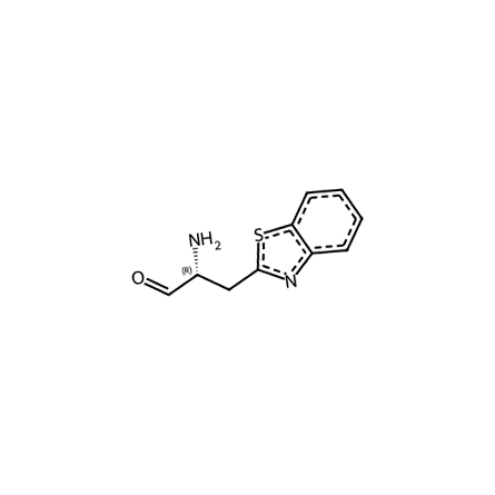 N[C@@H](C=O)Cc1nc2ccccc2s1